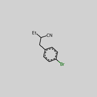 CCC(C#N)Cc1ccc(Br)cc1